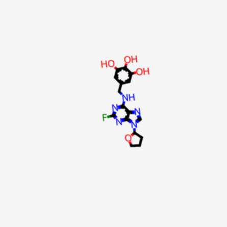 Oc1cc(CNc2nc(F)nc3c2ncn3C2CCCO2)cc(O)c1O